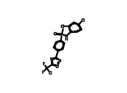 CP(=O)(Nc1ccc(Cl)cc1Cl)c1ccc(-c2noc(C(F)(F)Cl)n2)cc1